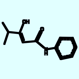 CC(C)/C(O)=C/C(=O)Nc1ccccc1